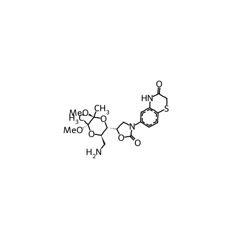 CO[C@@]1(C)O[C@H](C2CN(c3ccc4c(c3)NC(=O)CS4)C(=O)O2)[C@@H](CN)O[C@]1(C)OC